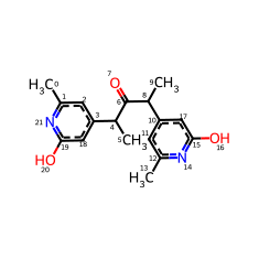 Cc1cc(C(C)C(=O)C(C)c2cc(C)nc(O)c2)cc(O)n1